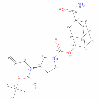 C=CCN(C(=O)OC(C)(C)C)[C@@H]1CCN(C(=O)OC2C3CC4CC2CC(C(N)=O)(C4)C3)C1